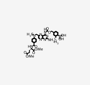 COC(=O)CC[C@H](NC(=O)c1ccc(N(C)Cc2cnc3nc(N)nc(NC(=O)OCc4ccc(B(O)O)c(C)c4)c3n2)cc1)C(=O)OC